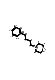 [CH](CCN1CCOCC1)Cc1ccccc1